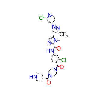 Cn1c(-c2cn(-c3ccnc(Cl)c3)nc2C(F)(F)F)cnc1C(=O)Nc1ccc(C(=O)N2CCN(C(=O)C3CCNCC3)CC2)c(Cl)c1